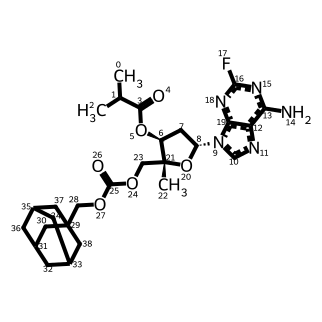 CC(C)C(=O)O[C@H]1C[C@H](n2cnc3c(N)nc(F)nc32)O[C@]1(C)COC(=O)OCC12CC3CC(CC(C3)C1)C2